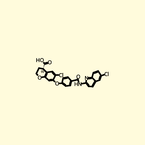 O=C(Nc1ccc2cc(Cl)ccc2n1)c1ccc(Oc2cc3c(cc2Cl)[C@@H](C(=O)O)CCO3)cc1